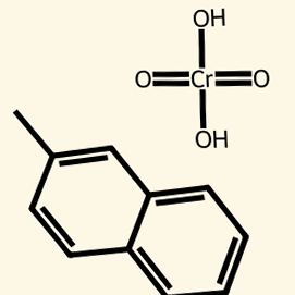 Cc1ccc2ccccc2c1.[O]=[Cr](=[O])([OH])[OH]